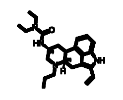 C=Cc1[nH]c2cccc3c2c1C[C@@H]1C3C[C@H](NC(=O)N(CC)CC)CN1CCC